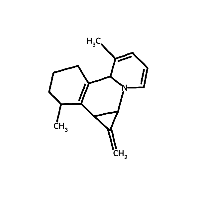 C=C1C2C3=C(CCCC3C)C3C(C)=CC=CN3C12